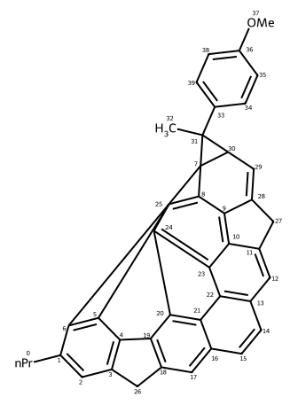 CCCc1cc2c3c4c1C15c6c7c8c(cc9ccc%10cc(c3c3c%10c9c8c3c64)C2)CC7=CC1C5(C)c1ccc(OC)cc1